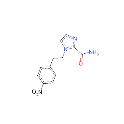 NC(=O)c1nccn1CCc1ccc([N+](=O)[O-])cc1